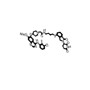 COc1cc2ncnc(Nc3cccc(Cl)c3F)c2cc1OC1CCN(CC(=O)NCCCCSc2cccc3c2CN(C2CCC(=O)NC2=O)C3=O)CC1